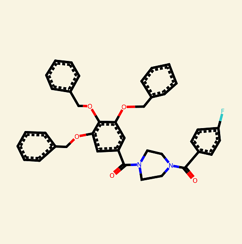 O=C(c1ccc(F)cc1)N1CCN(C(=O)c2cc(OCc3ccccc3)c(OCc3ccccc3)c(OCc3ccccc3)c2)CC1